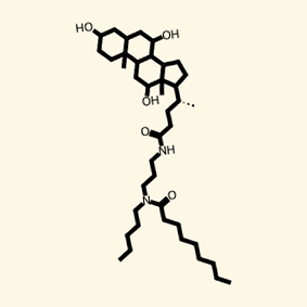 CCCCCCCCC(=O)N(CCCCC)CCCNC(=O)CC[C@@H](C)C1CCC2C3C(O)CC4CC(O)CCC4(C)C3CC(O)C21C